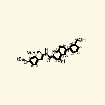 COC[C@H](Cc1ccc(OC(C)(C)C)cc1)NC(=O)c1cc(Cl)c2cc(-c3cccc(CO)c3)ccc2n1